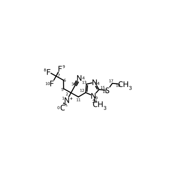 [C-]#[N+]C(C#N)(CCC(F)(F)F)Cc1cnc(SCC)n1C